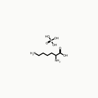 NCCCCC(N)C(=O)O.O=P(O)(O)O